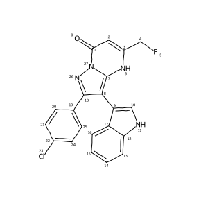 O=c1cc(CF)[nH]c2c(-c3c[nH]c4ccccc34)c(-c3ccc(Cl)cc3)nn12